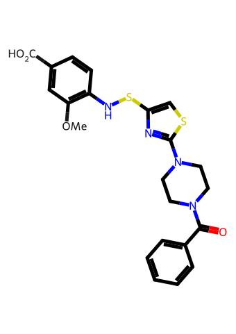 COc1cc(C(=O)O)ccc1NSc1csc(N2CCN(C(=O)c3ccccc3)CC2)n1